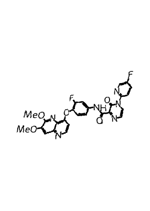 COc1cc2nccc(Oc3ccc(NC(=O)c4nccn(-c5ccc(F)cn5)c4=O)cc3F)c2nc1OC